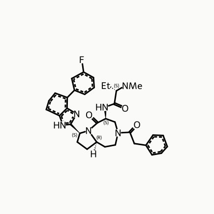 CC[C@H](NC)C(=O)N[C@H]1CN(C(=O)Cc2ccccc2)CC[C@H]2CC[C@@H](c3nc4c(-c5cccc(F)c5)cccc4[nH]3)N2C1=O